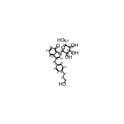 OCCCc1ccc(Cc2cn([C@@H]3O[C@H](CO)[C@@H](O)[C@H](O)[C@H]3O)c3c(Cl)cccc23)cc1